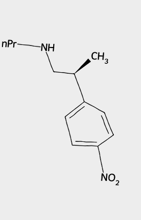 CCCNC[C@@H](C)c1ccc([N+](=O)[O-])cc1